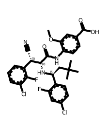 COc1cc(C(=O)O)ccc1NC(=O)[C@H](N[C@@H](CC(C)(C)C)c1ccc(Cl)cc1F)[C@@H](C#N)c1cccc(Cl)c1F